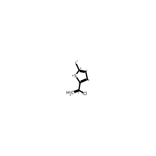 C=C(Cl)c1ccc(I)s1